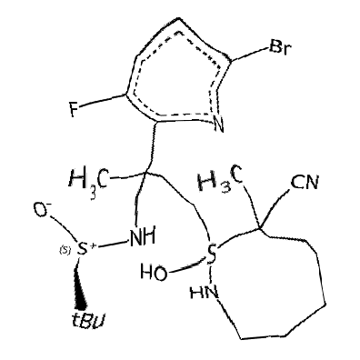 CC(CS1(O)NCCCCC1(C)C#N)(N[S@+]([O-])C(C)(C)C)c1nc(Br)ccc1F